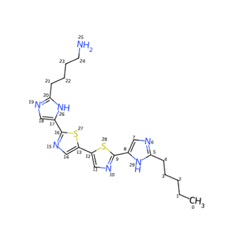 CCCCCc1ncc(-c2ncc(-c3cnc(-c4cnc(CCCCN)[nH]4)s3)s2)[nH]1